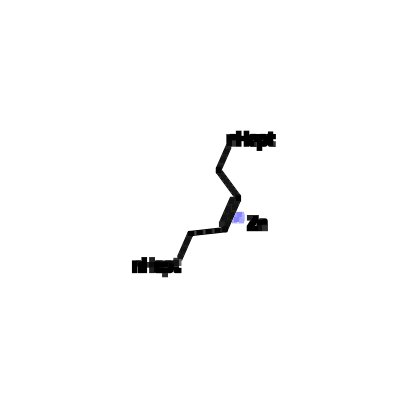 CCCCCCCC/C=C\CCCCCCCC.[Zn]